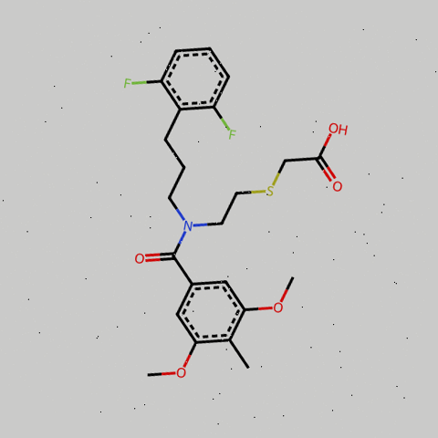 COc1cc(C(=O)N(CCCc2c(F)cccc2F)CCSCC(=O)O)cc(OC)c1C